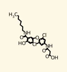 CCCCCCCNC(=O)c1cc(Oc2c(Cl)cc(NC(=O)CC(=O)O)cc2Cl)ccc1O